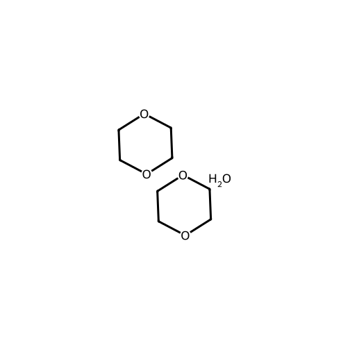 C1COCCO1.C1COCCO1.O